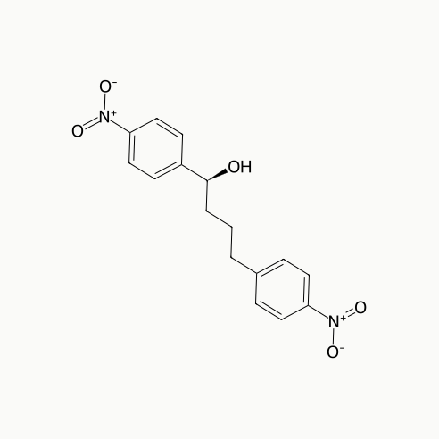 O=[N+]([O-])c1ccc(CCC[C@H](O)c2ccc([N+](=O)[O-])cc2)cc1